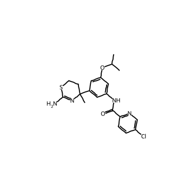 CC(C)Oc1cc(NC(=O)c2ccc(Cl)cn2)cc(C2(C)CCSC(N)=N2)c1